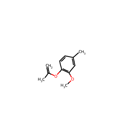 C=C(C)Oc1ccc(C)cc1OC